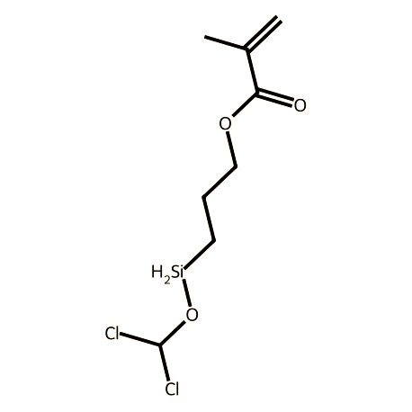 C=C(C)C(=O)OCCC[SiH2]OC(Cl)Cl